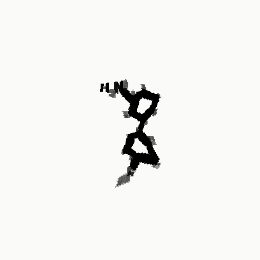 Nc1cccc(-c2ccc(F)cc2)c1